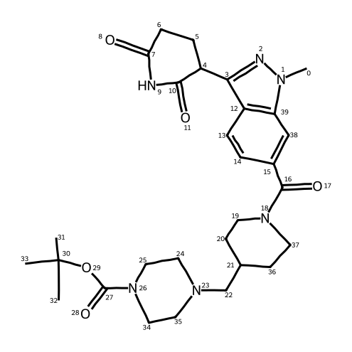 Cn1nc(C2CCC(=O)NC2=O)c2ccc(C(=O)N3CCC(CN4CCN(C(=O)OC(C)(C)C)CC4)CC3)cc21